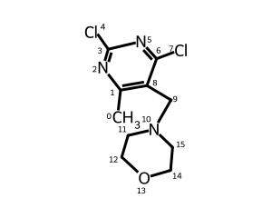 Cc1nc(Cl)nc(Cl)c1CN1CCOCC1